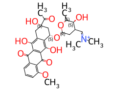 COc1cccc2c1C(=O)c1c(O)c3c(c(O)c1C2=O)C[C@@](O)(C(C)=O)C[C@@H]3O[C@H]1CC(C=[N+](C)C)[C@H](O)[C@H](C)O1